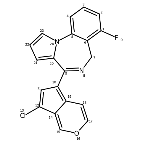 Fc1cccc2c1CN=C(c1cc(Cl)c3coccc1-3)c1cccn1-2